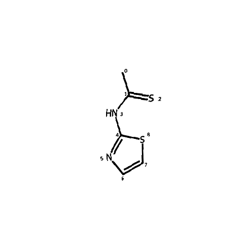 CC(=S)Nc1nccs1